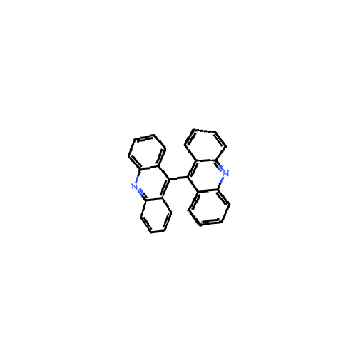 c1ccc2c(-c3c4ccccc4nc4ccccc34)c3ccccc3nc2c1